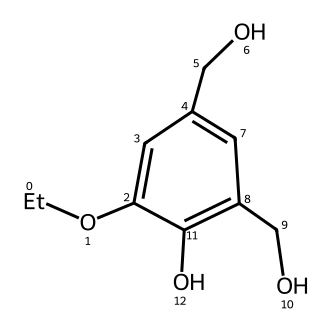 CCOc1cc(CO)cc(CO)c1O